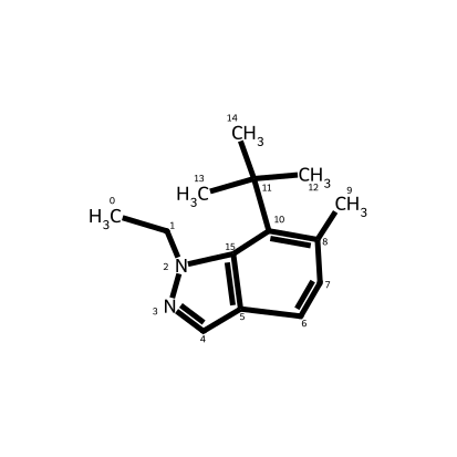 CCn1ncc2ccc(C)c(C(C)(C)C)c21